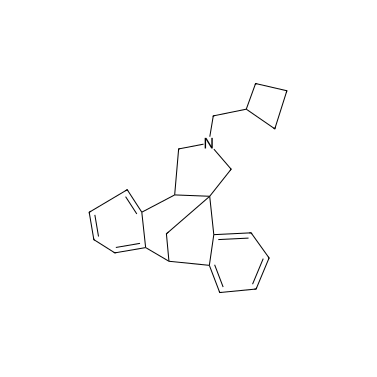 c1ccc2c(c1)C1CC3(CN(CC4CCC4)CC23)c2ccccc21